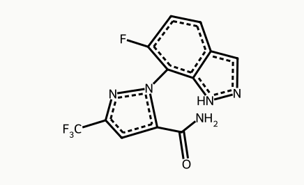 NC(=O)c1cc(C(F)(F)F)nn1-c1c(F)ccc2cn[nH]c12